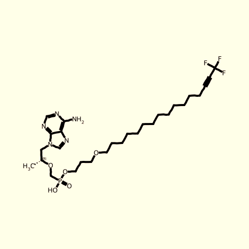 C[C@H](Cn1cnc2c(N)ncnc21)OCP(=O)(O)OCCCOCCCCCCCCCCCCCC#CC(F)(F)F